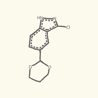 Clc1n[nH]c2ccc(C3OCCCO3)cc12